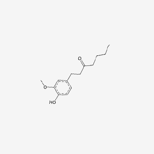 CCCCC(=O)CCc1ccc(O)c(OC)c1